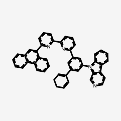 C1=CC(c2cc(-c3cccc(-c4cccc(-c5cc6ccccc6c6ccccc56)n4)n3)cc(-n3c4ccccc4c4ccncc43)c2)=CCC1